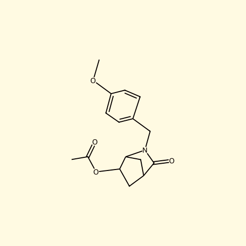 COc1ccc(CN2C(=O)C3CC(OC(C)=O)C2C3)cc1